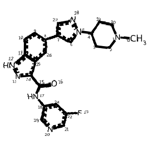 CN1CCC(n2cc(-c3ccc4[nH]nc(C(=O)Nc5cncc(F)c5)c4c3)cn2)CC1